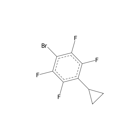 Fc1c(F)c(C2CC2)c(F)c(F)c1Br